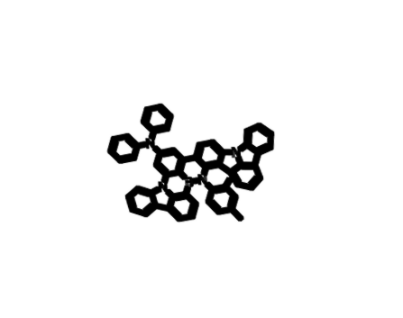 Cc1ccc(N2B3c4c(cc(N(c5ccccc5)c5ccccc5)cc4-n4c5ccccc5c5cccc3c54)-c3ccc4c(c32)c2cccc3c5ccccc5n4c32)c(C)c1